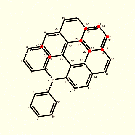 c1ccc(P(c2ccccc2)c2ccc3ccc4ccccc4c3c2-c2cccc3ccc4ccccc4c23)cc1